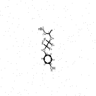 CCCCOC(C)OC(F)(F)C(F)(F)Oc1ccc(O)cc1